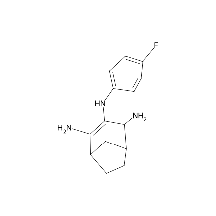 NC1=C(Nc2ccc(F)cc2)C(N)C2CCC1C2